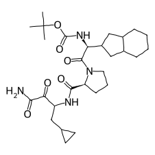 CC(C)(C)OC(=O)N[C@H](C(=O)N1CCC[C@H]1C(=O)NC(CC1CC1)C(=O)C(N)=O)C1CC2CCCCC2C1